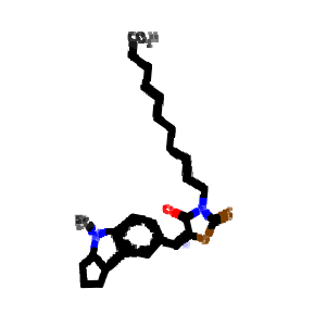 CCN1c2ccc(/C=C3/SC(=S)N(CCCCCCCCCCC(=O)O)C3=O)cc2C2CCCC21